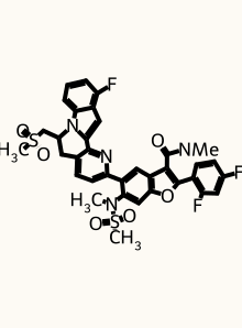 CNC(=O)c1c(-c2ccc(F)cc2F)oc2cc(N(C)S(C)(=O)=O)c(-c3ccc4c(n3)-c3cc5c(F)cccc5n3C(CS(C)(=O)=O)C4)cc12